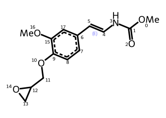 COC(=O)N/C=C/c1ccc(OCC2CO2)c(OC)c1